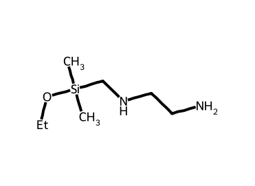 CCO[Si](C)(C)CNCCN